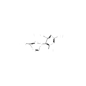 Cc1cc(C)c(-n2cnc([N+](=O)[O-])n2)c(C)c1